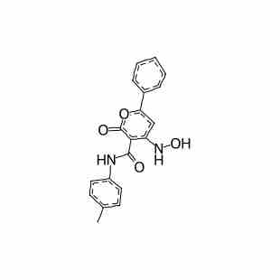 Cc1ccc(NC(=O)c2c(NO)cc(-c3ccccc3)oc2=O)cc1